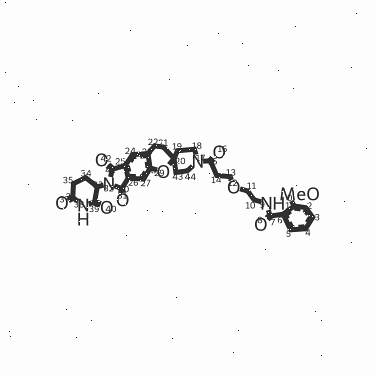 COc1ccccc1C(=O)NCCOCCC(=O)N1CCC2(CCc3cc4c(cc3O2)C(=O)N(C2CCC(=O)NC2=O)C4=O)CC1